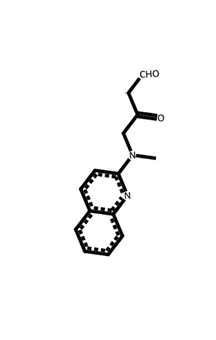 CN(CC(=O)[CH]C=O)c1ccc2ccccc2n1